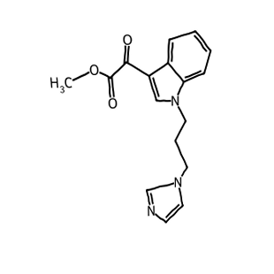 COC(=O)C(=O)c1cn(CCCn2ccnc2)c2ccccc12